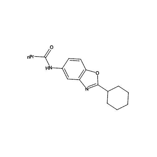 CCCC(=O)Nc1ccc2oc(C3CCCCC3)nc2c1